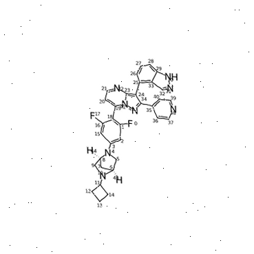 Fc1cc(N2C[C@@H]3C[C@H]2CN3C2CCC2)cc(F)c1-c1ccnc2c(-c3cccc4[nH]ncc34)c(-c3ccncc3)nn12